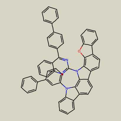 c1ccc(-c2ccc(-c3nc(-n4c5c(ccc6c7ccccc7oc65)c5ccc6c7ccccc7n(-c7cccc(-c8ccccc8)c7)c6c54)nc4ccccc34)cc2)cc1